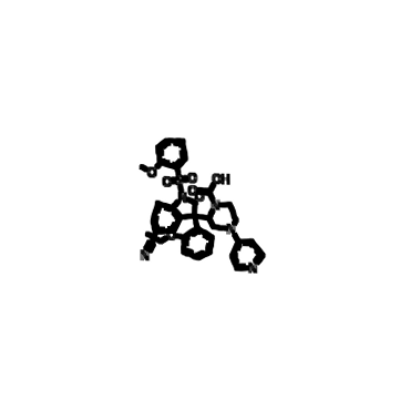 CCOc1ccccc1C1(C2CN(c3ccncc3)CCN2C(=O)O)C(=O)N(S(=O)(=O)c2ccccc2OC)c2ccc(C#N)cc21